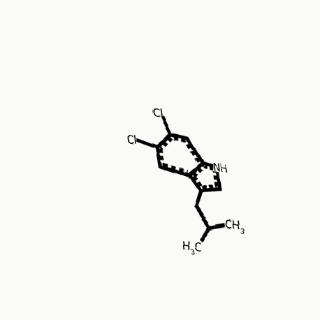 CC(C)Cc1c[nH]c2cc(Cl)c(Cl)cc12